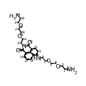 NCCOCCOCCNc1ccc2c3c(cccc13)C(=O)N(CCOCCOCCN)C2=O